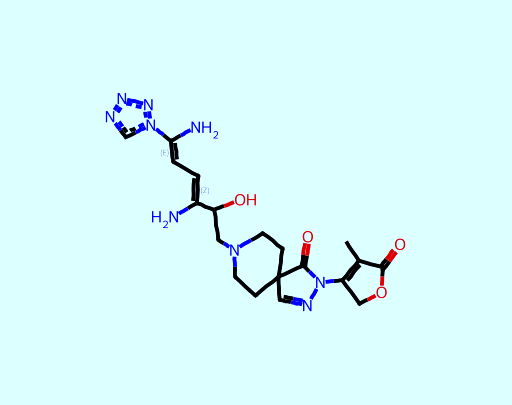 CC1=C(N2N=CC3(CCN(CC(O)/C(N)=C/C=C(\N)n4cnnn4)CC3)C2=O)COC1=O